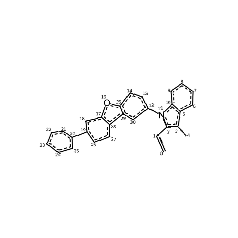 C=Cc1c(C)c2ccccc2n1-c1ccc2oc3cc(-c4ccccc4)ccc3c2c1